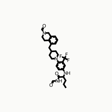 CCCC(Nc1ccc(N2CCC(Cc3cccc4c3CCN(C=O)C4)CC2)c(C(F)(F)F)c1)C(=O)NC=O